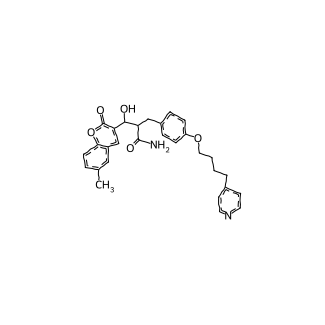 Cc1ccc2oc(=O)c(C(O)C(Cc3ccc(OCCCCc4ccncc4)cc3)C(N)=O)cc2c1